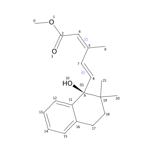 COC(=O)/C=C(C)\C=C\[C@@]1(O)c2ccccc2CCC1(C)C